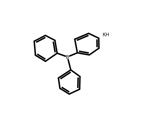 [KH].c1ccc(B(c2ccccc2)c2ccccc2)cc1